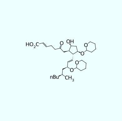 CCCC[C@H](C)C[C@@H](/C=C/[C@@H]1[C@@H](CC(=O)CC/C=C/C(=O)O)[C@@H](O)C[C@H]1OC1CCCCO1)OC1CCCCO1